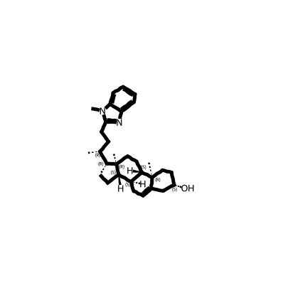 C[C@H](CCc1nc2ccccc2n1C)[C@H]1CC[C@H]2[C@@H]3CC=C4C[C@@H](O)CC[C@]4(C)[C@H]3CC[C@]12C